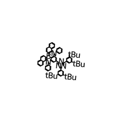 CC(C)(C)c1cc(-c2nc(-c3cc(C(C)(C)C)cc(C(C)(C)C)c3)nc(-c3cc4c5c(c3)N(c3ccccc3)c3c(ccc6ccccc36)B5c3ccc5ccccc5c3N4c3ccccc3)n2)cc(C(C)(C)C)c1